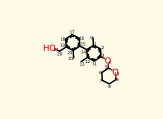 Cc1cc(OC2CCCCO2)cc(C)c1-c1cccc(CO)c1C